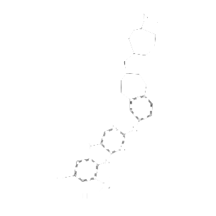 CP(C)(=O)c1cc(Cl)ccc1Nc1nc(Nc2ccc3c(c2)CC[C@@H](CC2CCC(N)COC2)CC3)ncc1Cl